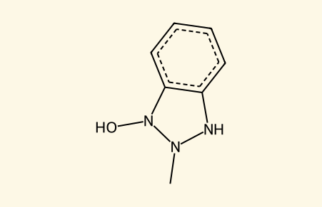 CN1Nc2ccccc2N1O